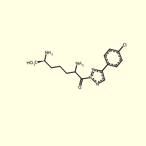 NC(CCC[C@H](N)C(=O)O)C(=O)n1ncc(-c2ccc(Cl)cc2)n1